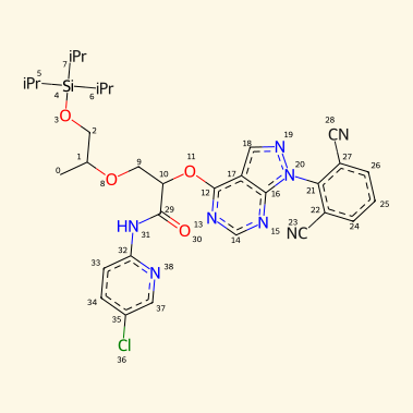 CC(CO[Si](C(C)C)(C(C)C)C(C)C)OCC(Oc1ncnc2c1cnn2-c1c(C#N)cccc1C#N)C(=O)Nc1ccc(Cl)cn1